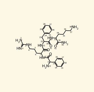 N=C(N)NCCCC(NC(=O)C(N)c1ccccc1)C(=O)NC(Cc1ccccc1)C(=O)NC(CCCCN)C(N)=O